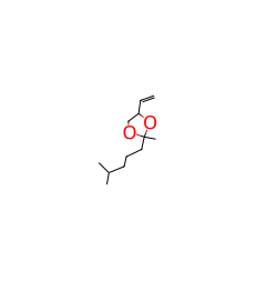 C=CC1COC(C)(CCCC(C)C)O1